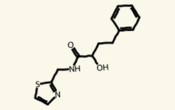 O=C(NCc1nccs1)C(O)CCc1ccccc1